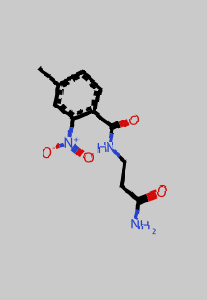 Cc1ccc(C(=O)NCCC(N)=O)c([N+](=O)[O-])c1